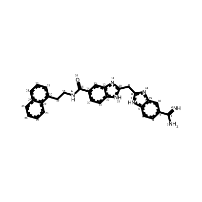 N=C(N)c1ccc2[nH]c(Cc3nc4cc(C(=O)NCCc5cccc6ccccc56)ccc4[nH]3)nc2c1